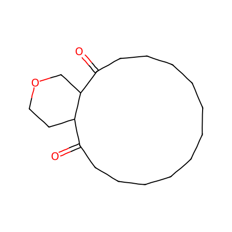 O=C1CCCCCCCCCCCC(=O)C2COCCC12